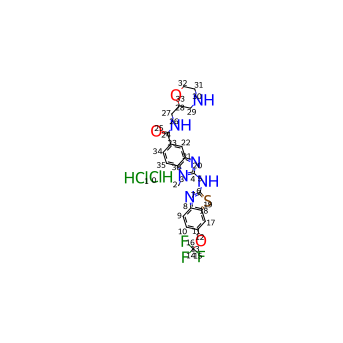 Cl.Cl.Cn1c(Nc2nc3ccc(OC(F)(F)F)cc3s2)nc2cc(C(=O)NCC3CNCCO3)ccc21